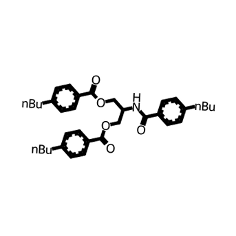 CCCCc1ccc(C(=O)NC(COC(=O)c2ccc(CCCC)cc2)COC(=O)c2ccc(CCCC)cc2)cc1